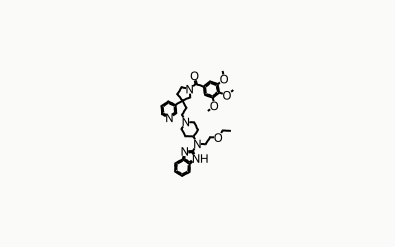 CCOCCN(c1nc2ccccc2[nH]1)C1CCN(CCC2(c3cccnc3)CCN(C(=O)c3cc(OC)c(OC)c(OC)c3)C2)CC1